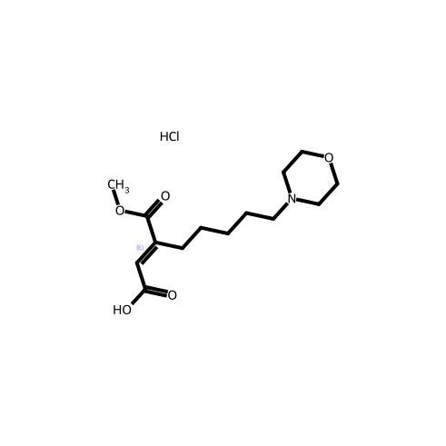 COC(=O)/C(=C/C(=O)O)CCCCCN1CCOCC1.Cl